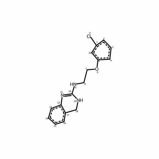 Clc1cccc(OCCNC2=Nc3ccccc3CN2)c1